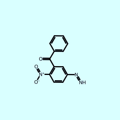 N=Nc1ccc([N+](=O)[O-])c(C(=O)c2ccccc2)c1